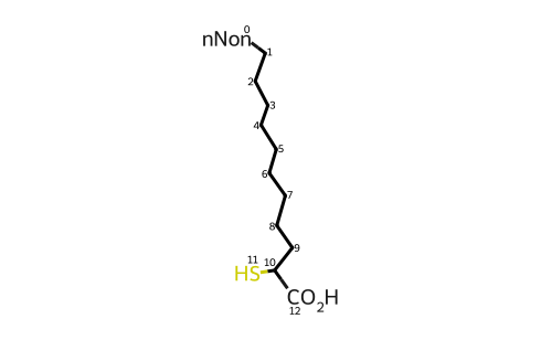 CCCCCCCCCCCCCCCCCCC(S)C(=O)O